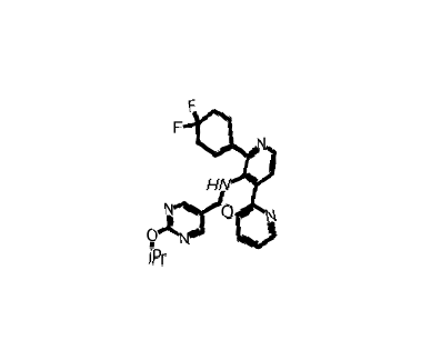 CC(C)Oc1ncc(C(=O)Nc2c(-c3ccccn3)ccnc2C2CCC(F)(F)CC2)cn1